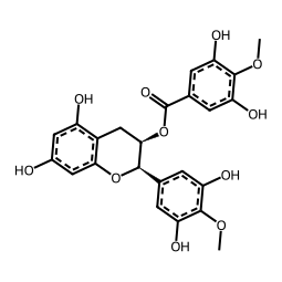 COc1c(O)cc(C(=O)O[C@@H]2Cc3c(O)cc(O)cc3O[C@@H]2c2cc(O)c(OC)c(O)c2)cc1O